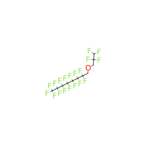 FC(F)C(F)(F)COCC(F)(F)C(F)(F)C(F)(F)C(F)(F)C(F)(F)C(F)(F)C(F)(F)F